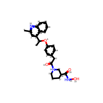 Cc1cc(C(C)Oc2ccc(CC(=O)N3CCCC(C(=O)NO)C3)cc2)c2ccccc2n1